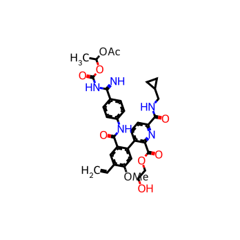 C=Cc1cc(C(=O)Nc2ccc(C(=N)NC(=O)OC(C)OC(C)=O)cc2)c(-c2ccc(C(=O)NCC3CC3)nc2C(=O)OCCO)cc1OC